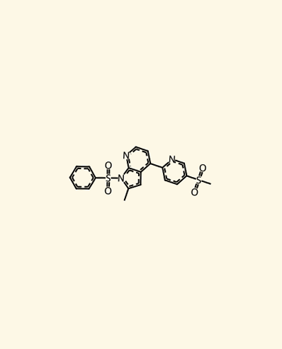 Cc1cc2c(-c3ccc(S(C)(=O)=O)cn3)ccnc2n1S(=O)(=O)c1ccccc1